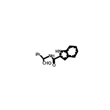 CC(C)C(C=O)NC(=O)c1cc2ccccc2[nH]1